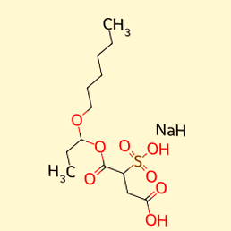 CCCCCCOC(CC)OC(=O)C(CC(=O)O)S(=O)(=O)O.[NaH]